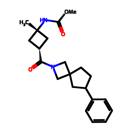 COC(=O)N[C@]1(C)C[C@H](C(=O)N2CC3(CCC(c4ccccc4)C3)C2)C1